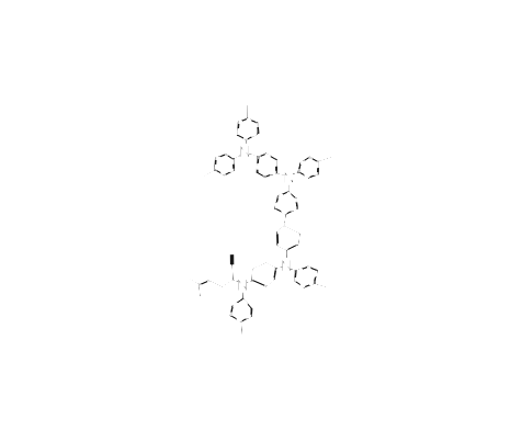 C#CC(CC=C(C)C)N(C1=CC=C(N(C2=CCC(c3ccc(N(c4ccc(C)cc4)c4ccc(N(c5ccc(C)cc5)c5ccc(C)cc5)cc4)cc3)C=C2)c2ccc(C)cc2)CC1)c1ccc(C)cc1